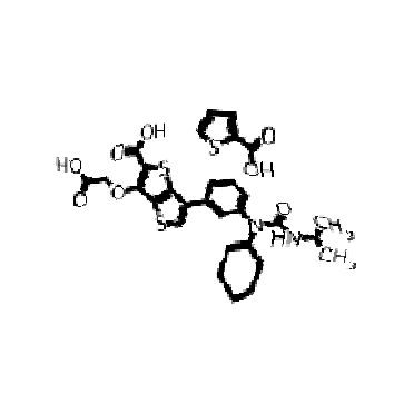 CC(C)NC(=O)N(c1cccc(-c2csc3c(OCC(=O)O)c(C(=O)O)sc23)c1)C1CCCCC1.O=C(O)c1cccs1